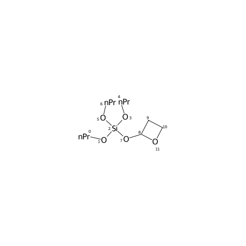 CCCO[Si](OCCC)(OCCC)OC1CCO1